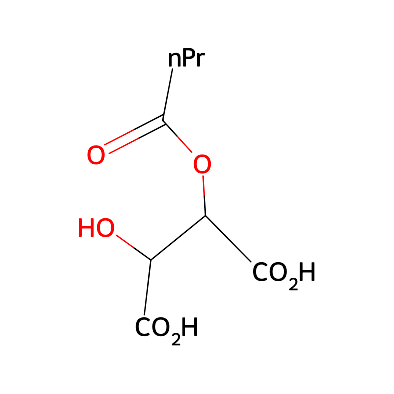 CCCC(=O)OC(C(=O)O)C(O)C(=O)O